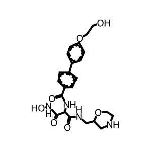 O=C(NC(C(=O)NO)C(=O)NCC1CNCCO1)c1ccc(-c2ccc(OCCO)cc2)cc1